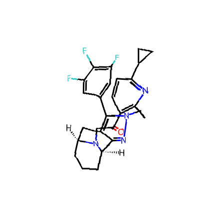 Cc1nc(C2CC2)ccc1C(=O)CN1[C@H]2CCC[C@@H]1c1nn(C)c(-c3cc(F)c(F)c(F)c3)c1C2